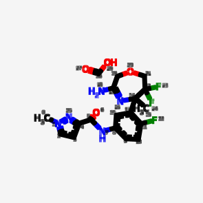 Cn1ccc(C(=O)Nc2ccc(F)c(C3(C)N=C(N)COCC3(F)F)c2)n1.O=CO